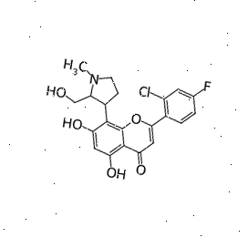 CN1CCC(c2c(O)cc(O)c3c(=O)cc(-c4ccc(F)cc4Cl)oc23)C1CO